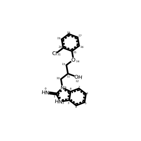 N=c1[nH]c2ccccc2n1CC(O)COc1ccccc1Cl